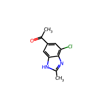 CC(=O)c1cc(Cl)c2nc(C)[nH]c2c1